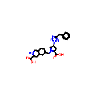 O=C(O)C1CC2CC(CN3CC(n4nnc(Cc5ccccc5)n4)CC3C(=O)O)CCC2CN1